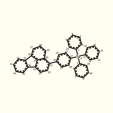 c1ccc([Si](c2ccccc2)(c2ccccc2)c2ccc(-c3ccc4c5c(cccc35)-c3ccccc3-4)cc2)cc1